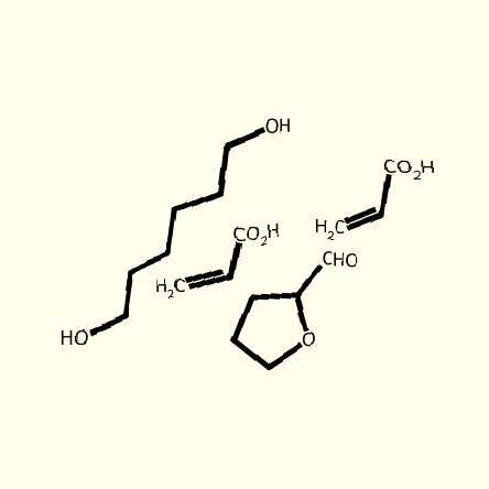 C=CC(=O)O.C=CC(=O)O.O=CC1CCCO1.OCCCCCCO